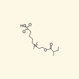 CCC(C)C(=O)OCC[N+](C)(C)CCCCS(=O)(=O)O